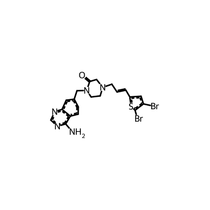 Nc1ncnc2cc(CN3CCN(CC=Cc4cc(Br)c(Br)s4)CC3=O)ccc12